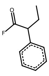 CCC(C(=O)F)c1ccccc1